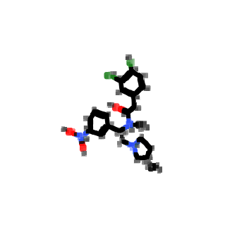 C[C@H]1CCN(C[C@H](c2cccc([N+](=O)[O-])c2)N(C)C(=O)Cc2ccc(Cl)c(Cl)c2)C1